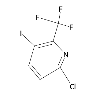 FC(F)(F)c1nc(Cl)ccc1I